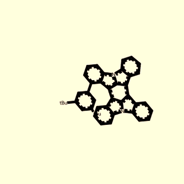 CC(C)(C)c1cc(-c2cccc3c2c2c4c5ccccc5n5c6ccccc6c(c6c7ccccc7n3c62)c45)cc(C(C)(C)C)c1